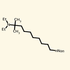 CCCCCCCCCCCCCCCCCC(C)(C)N(CC)CC